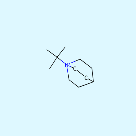 CC(C)(C)[N+]12CCC(CC1)CC2